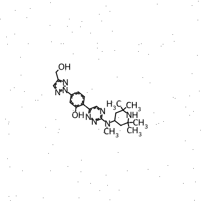 CN(c1ncc(-c2ccc(-n3ncc(CO)n3)cc2O)nn1)C1CC(C)(C)NC(C)(C)C1